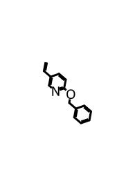 C=Cc1ccc(OCc2ccccc2)nc1